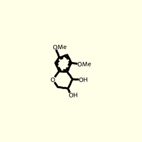 COc1cc(OC)c2c(c1)OCC(O)C2O